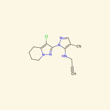 C#CCNc1c(C#N)cnn1-c1nn2c(c1Cl)CCCC2